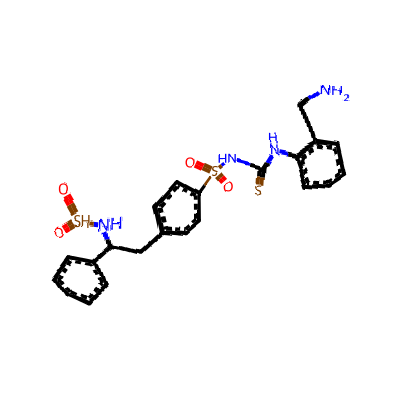 NCc1ccccc1NC(=S)NS(=O)(=O)c1ccc(CC(N[SH](=O)=O)c2ccccc2)cc1